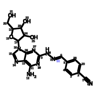 N#Cc1ccc(/C=N/Nc2nc(N)c3ncn(C4OC(CO)C(O)C4O)c3n2)cc1